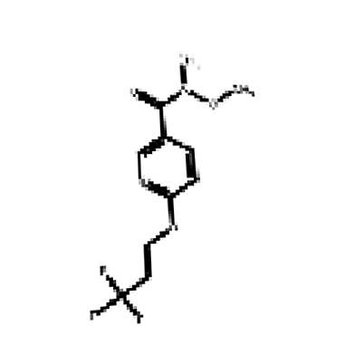 CON(C)C(=O)c1ccc(OCCC(F)(F)F)nc1